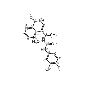 C[C@H](c1c[nH]c(=O)c2nccnc12)N(C)C(=O)Nc1ccc(F)c(Cl)c1